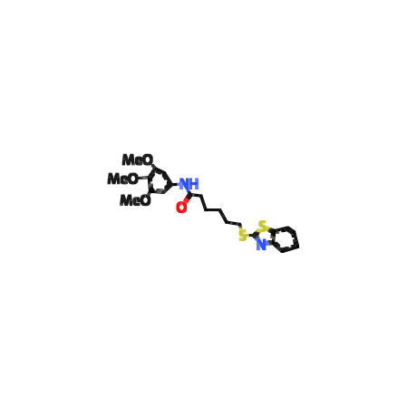 COc1cc(NC(=O)CCCCCSc2nc3ccccc3s2)cc(OC)c1OC